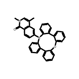 Cc1cn(C)c(=O)c2ccc(N3c4ccccc4-c4ccccc4Oc4ccccc4-c4ccccc43)cc12